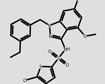 CCc1cccc(Cn2nc(NS(=O)(=O)c3ccc(Cl)s3)c3c(OC)cc(F)cc32)c1